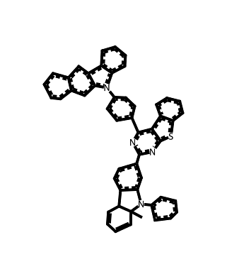 CC12C=CC=CC1c1ccc(-c3nc(-c4ccc(-n5c6ccccc6c6cc7ccccc7cc65)cc4)c4c(n3)sc3ccccc34)cc1N2c1ccccc1